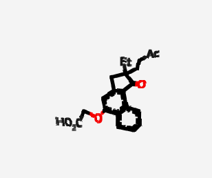 CCC1(CCC(C)=O)Cc2cc(OCC(=O)O)c3ccccc3c2C1=O